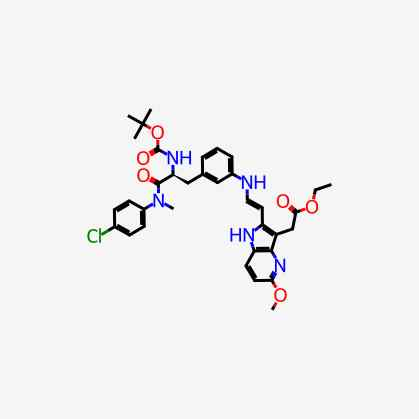 CCOC(=O)Cc1c(/C=C/Nc2cccc(C[C@H](NC(=O)OC(C)(C)C)C(=O)N(C)c3ccc(Cl)cc3)c2)[nH]c2ccc(OC)nc12